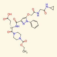 CCOC(=O)N1CCN(C(=O)[C@H](CCC(=O)O)NC(=O)c2cc(OCC(=O)NCC(=O)NC3CC3)n(-c3ccccc3)n2)CC1